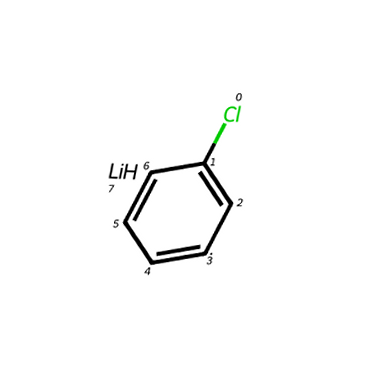 Clc1c[c]ccc1.[LiH]